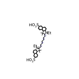 CCN1/C(=C/C=C/C=C/C=C/C2=[N+](CC)c3ccc4cc(S(=O)(=O)O)ccc4c3C2(C)C)C(C)(C)c2c1ccc1cc(S(=O)(=O)O)ccc21